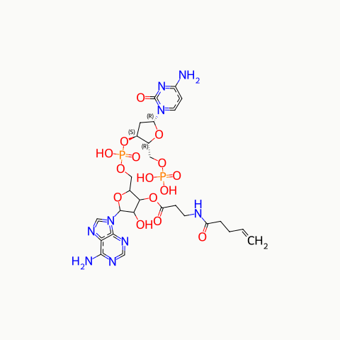 C=CCCC(=O)NCCC(=O)OC1C(COP(=O)(O)O[C@H]2C[C@H](n3ccc(N)nc3=O)O[C@@H]2COP(=O)(O)O)OC(n2cnc3c(N)ncnc32)C1O